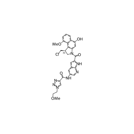 COCCn1cc(C(=O)Nc2cnc3[nH]c(C(=O)N4C[C@@H](CCl)c5c4cc(O)c4cccc(OC)c54)cc3c2)nn1